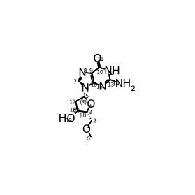 COC[C@H]1O[C@@H](n2cnc3c(=O)[nH]c(N)nc32)C[C@@H]1O